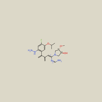 C=C(/C=C(\N=C/N)N1C[C@H](OC)[C@@H](O)C1)C(=C)c1cc(OC(C)C)c(F)cc1NN